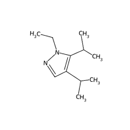 CCn1ncc(C(C)C)c1C(C)C